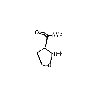 CNC(=O)[C@@H]1CCON1